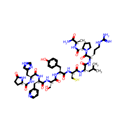 CC(C)C[C@H](NC(=O)[C@@H](CS)NC(=O)[C@H](Cc1ccc(O)cc1)NC(=O)[C@H](CO)NC(=O)[C@@H](Cc1cccnc1)NC(=O)[C@H](Cc1c[nH]cn1)NC(=O)[C@@H]1CCC(=O)N1)C(=O)N[C@@H](CCCNC(=N)N)C(=O)N1CCC[C@H]1C(=O)N[C@H](C)C(N)=O